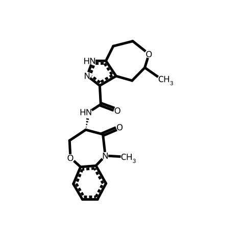 CC1Cc2c(C(=O)N[C@H]3COc4ccccc4N(C)C3=O)n[nH]c2CCO1